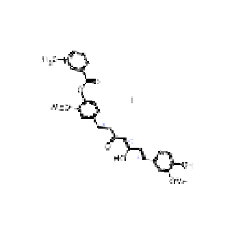 COc1cc(/C=C/C(O)=C/C(=O)/C=C/c2ccc(OC(=O)c3ccc[n+](C)c3)c(OC)c2)ccc1O.[I-]